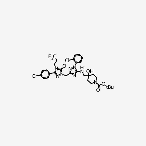 CC(C)(C)OC(=O)N1CCC(O)(CNc2nc(Cn3nc(-c4ccc(Cl)cc4)n(CCC(F)(F)F)c3=O)nn2-c2ccccc2Cl)CC1